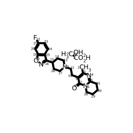 CC(=O)O.Cc1nc2n(c(=O)c1CCN1CCC(c3noc4cc(F)ccc34)CC1)CCCC2.O